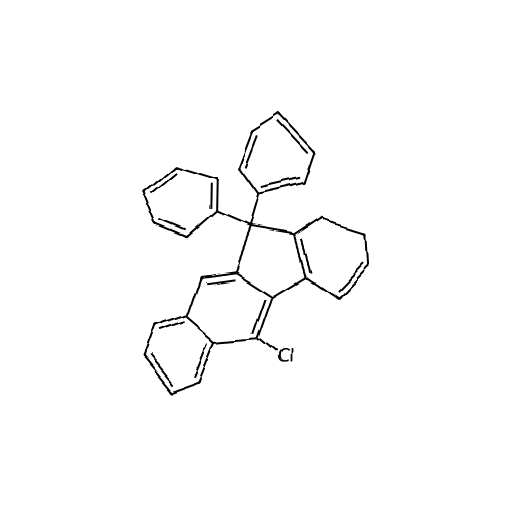 Clc1c2c(cc3ccccc13)C(c1ccccc1)(c1ccccc1)C1=C2C=CCC1